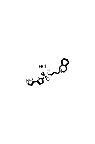 Cl.O=S(=O)(NCCCN1CCc2ccccc2C1)c1ccc(-c2ccno2)s1